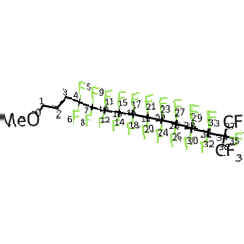 COCCCC(F)(F)C(F)(F)C(F)(F)C(F)(F)C(F)(F)C(F)(F)C(F)(F)C(F)(F)C(F)(F)C(F)(F)C(F)(C(F)(F)F)C(F)(F)F